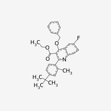 CCOC(=O)c1c(-c2ccc(C(C)(C)C)cc2C)nc2ccc(F)cc2c1OCc1ccccc1